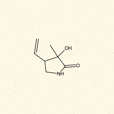 C=CC1CNC(=O)C1(C)O